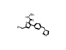 CC(C)Cc1cc(-c2ccc(Cn3ccnc3)cc2)c(C(=O)NC(C)(C)C)s1